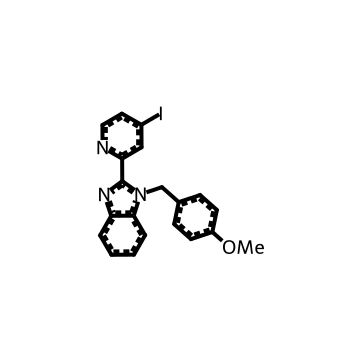 COc1ccc(Cn2c(-c3cc(I)ccn3)nc3ccccc32)cc1